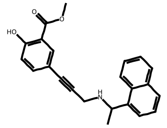 COC(=O)c1cc(C#CCNC(C)c2cccc3ccccc23)ccc1O